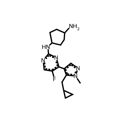 Cn1ncc(-c2nc(NC3CCC(N)CC3)ncc2F)c1CC1CC1